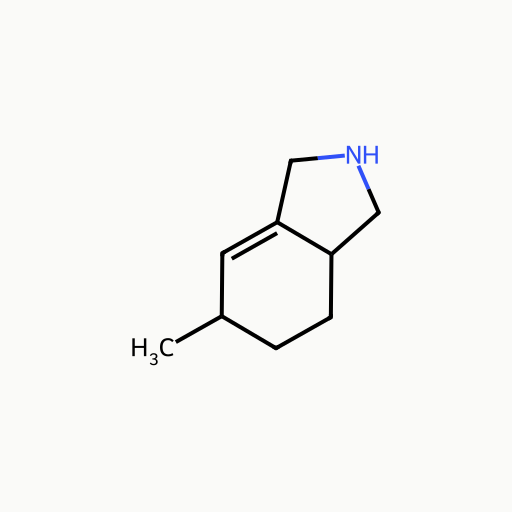 CC1C=C2CNCC2CC1